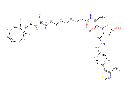 Cc1ncsc1-c1ccc(CNC(=O)[C@@H]2C[C@@H](O)CN2C(=O)[C@@H](NC(=O)CCCCCCCNC(=O)OCC2[C@H]3CCC#CCC[C@@H]23)C(C)(C)C)cc1